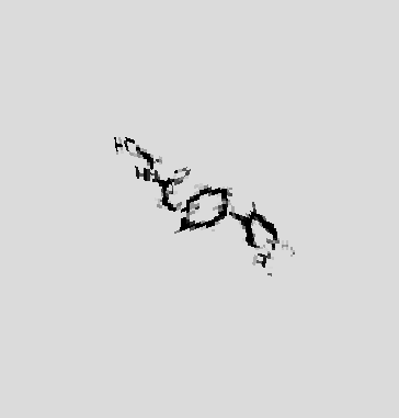 C/C=C\C(=C/C)N1CCN(CC(=O)NCO)CC1